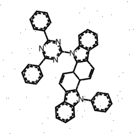 C1=CC2c3c(c4ccccc4n3-c3nc(-c4ccccc4)nc(-c4ccccc4)n3)C=CC2c2c1c1ccccc1n2-c1ccccc1